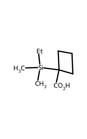 CC[Si](C)(C)C1(C(=O)O)CCC1